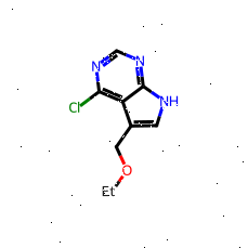 CCOCc1c[nH]c2ncnc(Cl)c12